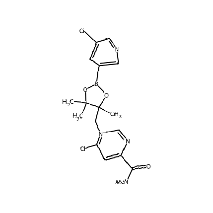 CNC(=O)c1cc(Cl)[n+](CC2(C)OB(c3cncc(Cl)c3)OC2(C)C)cn1